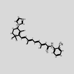 CC1=C(/C=C/C(C)=C/C=C/C(C)=C/C(=O)Nc2ccccc2C#N)C(C)(C)CCC1n1ccnc1